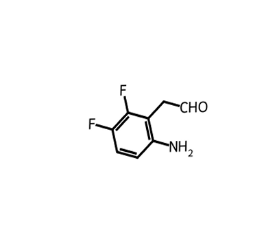 Nc1ccc(F)c(F)c1CC=O